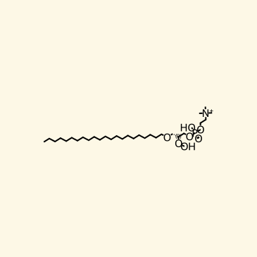 CCCCCCCCCCCCCCCCCCCCCCOC[C@H](COP(=O)(O)OCC[N+](C)(C)C)OO